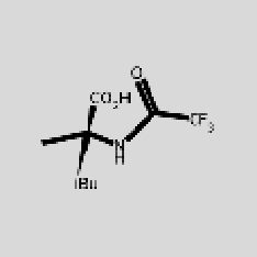 CC[C@H](C)[C@](C)(NC(=O)C(F)(F)F)C(=O)O